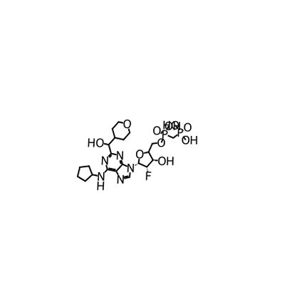 O=P(O)(O)CP(=O)(O)OCC1O[C@@H](n2cnc3c(NC4CCCC4)nc(C(O)C4CCOCC4)nc32)[C@@H](F)[C@@H]1O